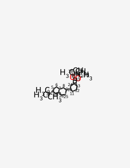 CC(C)(C)c1ccc2cc(-c3cccc(B4OC(C)(C)C(C)(C)O4)c3)ccc2c1